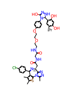 Cc1sc2c(c1C)C(c1ccc(Cl)cc1)=N[C@@H](CC(=O)NCC(=O)NCCOCCOc1ccc(N3C(O)=NNC3c3cc(C(C)C)c(O)cc3O)cc1)c1nnc(C)n1-2